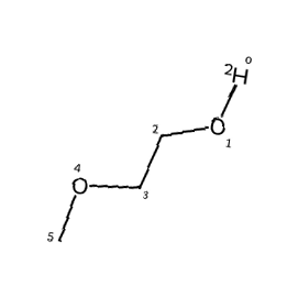 [2H]OCCOC